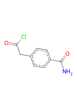 NC(=O)c1ccc(CC(=O)Cl)cc1